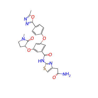 Cc1nnc(-c2ccc(Oc3cc(OC4CCN(C)C4=O)cc(C(=O)Nc4nc(CC(N)=O)cs4)c3)cc2)o1